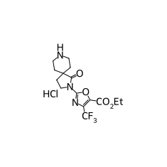 CCOC(=O)c1oc(N2CCC3(CCNCC3)C2=O)nc1C(F)(F)F.Cl